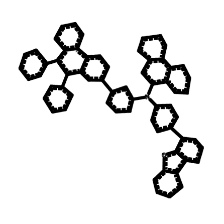 c1ccc(-c2c(-c3ccccc3)c3cc(-c4cccc(N(c5ccc(-c6cccc7c6oc6ccccc67)cc5)c5cc6ccccc6c6ccccc56)c4)ccc3c3ccccc23)cc1